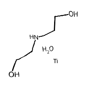 O.OCCNCCO.[Ti]